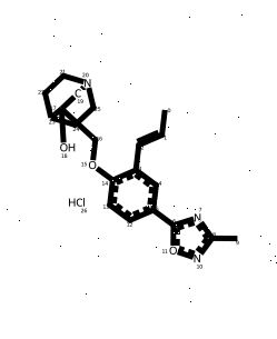 CC=Cc1cc(-c2nc(C)no2)ccc1OCC1(O)CN2CCC1CC2.Cl